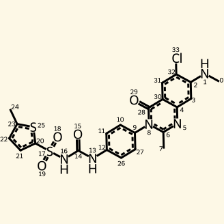 CNc1cc2nc(C)n(-c3ccc(NC(=O)NS(=O)(=O)c4ccc(C)s4)cc3)c(=O)c2cc1Cl